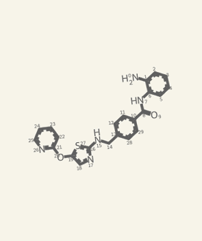 Nc1ccccc1NC(=O)c1ccc(CNc2ncc(Oc3ccccn3)s2)cc1